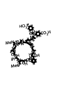 CNC(=O)C[C@@H]1NC(=O)c2csc(n2)-c2ccc(-c3nc(N(C(=O)O[C@H]4CC[C@H](C(=O)O)CC4)C4CCC(C(=O)O)CC4)cs3)nc2-c2csc(n2)-c2csc(n2)[C@H]([C@@H](O)c2ccccc2)NC(=O)CNC(=O)c2nc(sc2COC)C(C(C)C)NC(=O)c2nc1sc2C